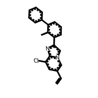 C=Cc1cc(Cl)c2nc(-c3cccc(-c4ccccc4)c3C)cn2c1